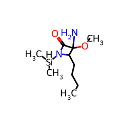 CCCCC1N([SiH](C)C)C(=O)C1(N)OC